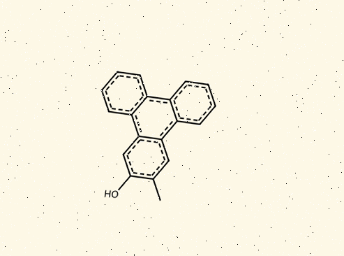 Cc1cc2c3ccccc3c3ccccc3c2cc1O